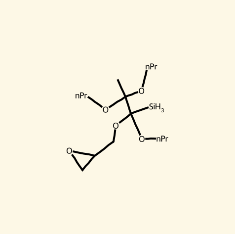 CCCOC(C)(OCCC)C([SiH3])(OCCC)OCC1CO1